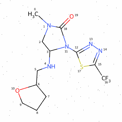 CN1CC(NCC2CCCO2)N(c2nnc(C(F)(F)F)s2)C1=O